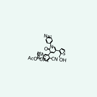 CC(=O)O[BH-](OC(C)=O)OC(C)=O.N#Cc1ccccc1-c1cc(-c2ccsc2CO)cn(-c2ccccc2)c1=O.[Na+]